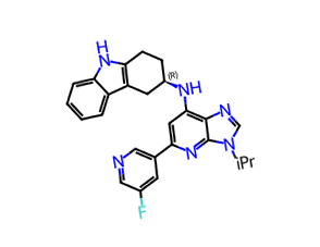 CC(C)n1cnc2c(N[C@@H]3CCc4[nH]c5ccccc5c4C3)cc(-c3cncc(F)c3)nc21